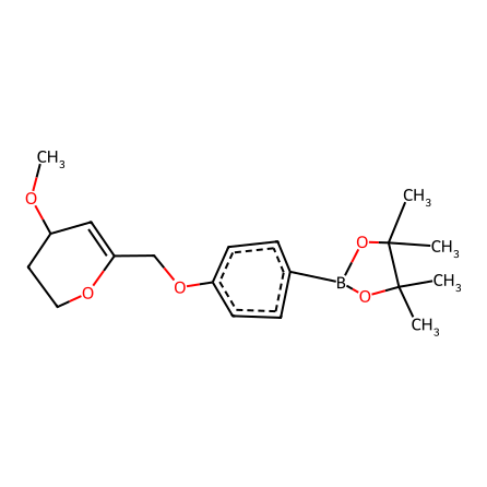 COC1C=C(COc2ccc(B3OC(C)(C)C(C)(C)O3)cc2)OCC1